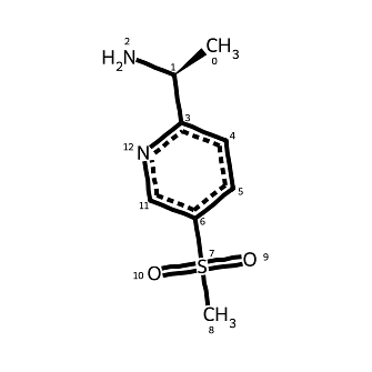 C[C@H](N)c1ccc(S(C)(=O)=O)cn1